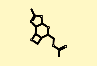 CC(=O)OCC1OC2OC(C)=NC2C2OCC12